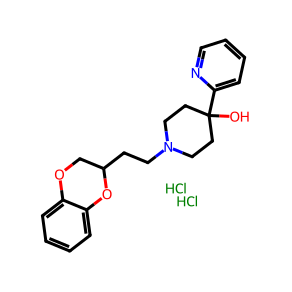 Cl.Cl.OC1(c2ccccn2)CCN(CCC2COc3ccccc3O2)CC1